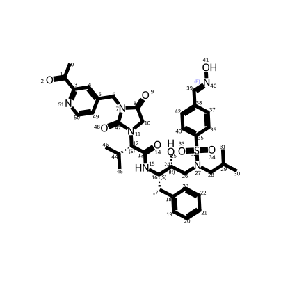 CC(=O)c1cc(CN2C(=O)CN([C@H](C(=O)N[C@@H](Cc3ccccc3)[C@H](O)CN(CC(C)C)S(=O)(=O)c3ccc(/C=N/O)cc3)C(C)C)C2=O)ccn1